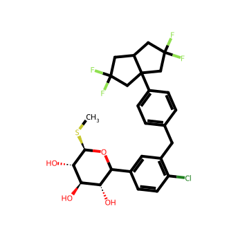 CS[C@H]1OC(c2ccc(Cl)c(Cc3ccc(C45CC(F)(F)CC4CC(F)(F)C5)cc3)c2)[C@H](O)[C@@H](O)[C@@H]1O